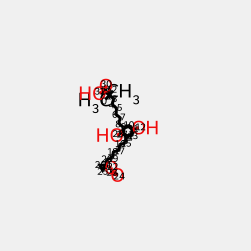 CC(C)(CCCCCCc1cc(O)cc(CCCCCCC2(OC=O)CC2)c1O)C(=O)O